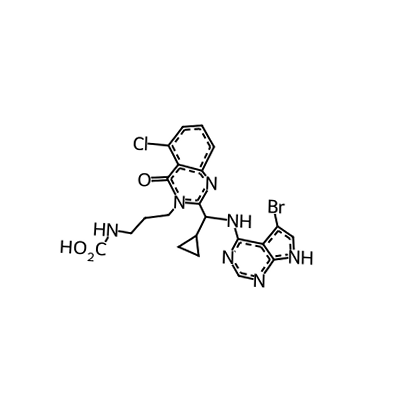 O=C(O)NCCCn1c(C(Nc2ncnc3[nH]cc(Br)c23)C2CC2)nc2cccc(Cl)c2c1=O